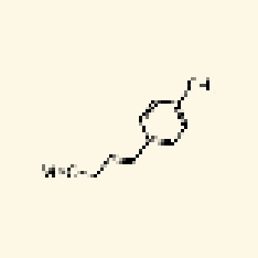 [CH2]OC/C=C/c1ccc(C)cc1